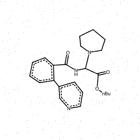 CCCCOC(=O)C(NC(=O)c1ccccc1-c1[c]nccc1)N1CCCCC1